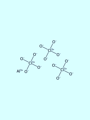 [Al+3].[O-][Cl+3]([O-])([O-])[O-].[O-][Cl+3]([O-])([O-])[O-].[O-][Cl+3]([O-])([O-])[O-]